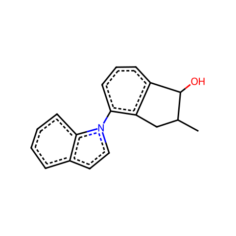 CC1Cc2c(cccc2-n2ccc3ccccc32)C1O